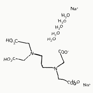 O.O.O.O.O.O.O=C([O-])CN(CCN(CC(=O)O)CC(=O)O)CC(=O)[O-].[Na+].[Na+]